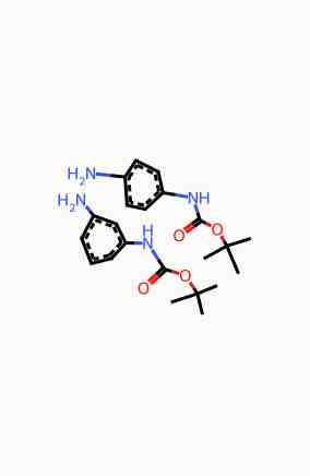 CC(C)(C)OC(=O)Nc1ccc(N)cc1.CC(C)(C)OC(=O)Nc1cccc(N)c1